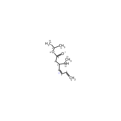 C=C/C=C\C(CC(=O)OC(C)C)NC